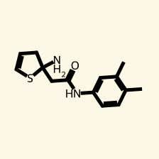 Cc1ccc(NC(=O)CC2(N)CC=CS2)cc1C